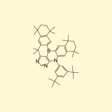 CC(C)(C)c1cc(N2c3cc4c(cc3B3c5cc6c(cc5C(C)(C)c5ncnc2c53)C(C)(C)CCC6(C)C)C(C)(C)CCC4(C)C)cc(C(C)(C)C)c1